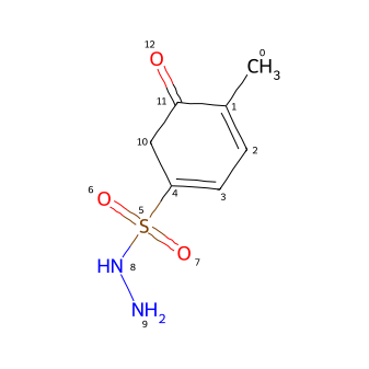 CC1=CC=C(S(=O)(=O)NN)CC1=O